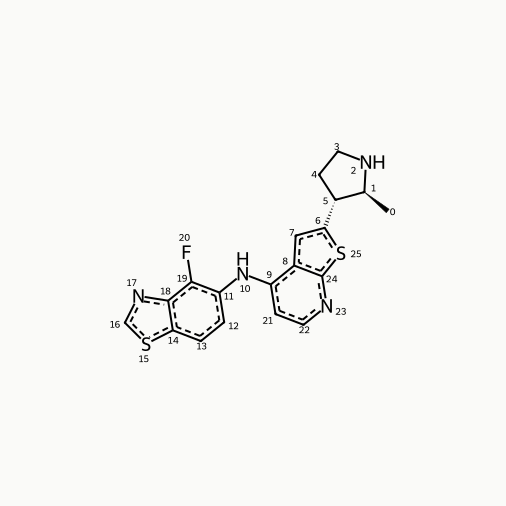 C[C@@H]1NCC[C@H]1c1cc2c(Nc3ccc4scnc4c3F)ccnc2s1